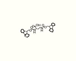 O=C(NCC[C@@H](NC(=O)OCC1c2ccccc2-c2ccccc21)C(=O)O)OCC1c2ccccc2-c2ccccc21